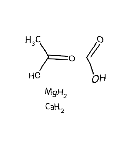 CC(=O)O.O=CO.[CaH2].[MgH2]